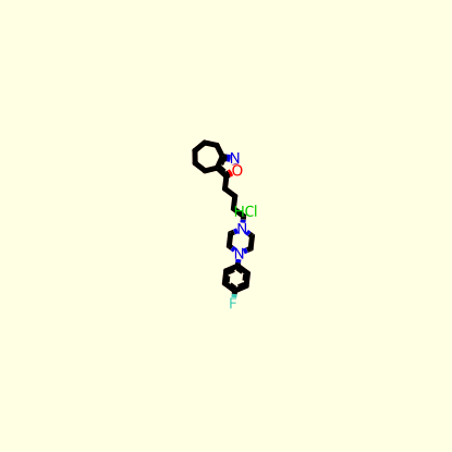 Cl.Fc1ccc(N2CCN(CCCCc3onc4c3CCCCC4)CC2)cc1